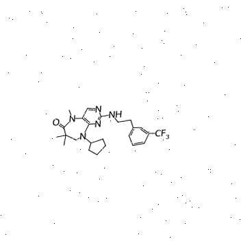 CN1C(=O)C(C)(C)CN(C2CCCC2)c2nc(NCCc3cccc(C(F)(F)F)c3)ncc21